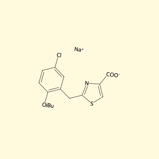 CC(C)COc1ccc(Cl)cc1Cc1nc(C(=O)[O-])cs1.[Na+]